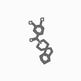 O=C(c1ccc(Cl)c(Cl)c1)N1CCC2(CCc3ccccc32)CC1